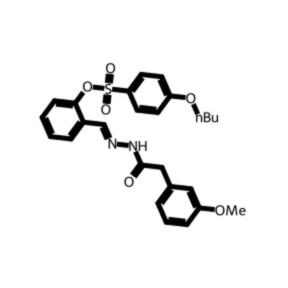 CCCCOc1ccc(S(=O)(=O)Oc2ccccc2/C=N/NC(=O)Cc2cccc(OC)c2)cc1